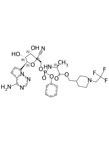 C[C@H](NP(=O)(OC[C@@]1(C#N)O[C@@H](c2ccc3c(N)ncnn23)[C@H](O)[C@@H]1O)Oc1ccccc1)C(=O)OCC1CCN(CC(F)(F)F)CC1